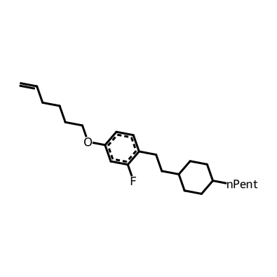 C=CCCCCOc1ccc(CCC2CCC(CCCCC)CC2)c(F)c1